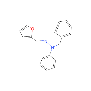 C(=NN(Cc1ccccc1)c1ccccc1)c1ccco1